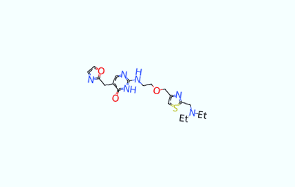 CCN(CC)Cc1nc(COCCNc2ncc(Cc3ncco3)c(=O)[nH]2)cs1